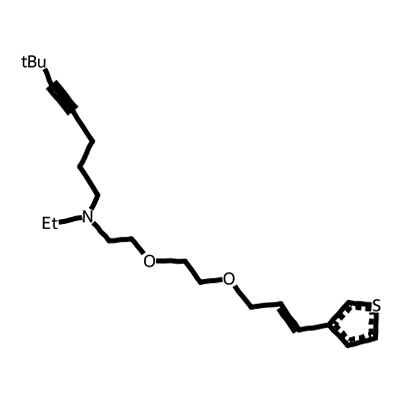 CCN(CCCC#CC(C)(C)C)CCOCCOC/C=C/c1ccsc1